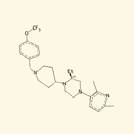 CC[C@H]1CN(c2ccc(C)nc2C)CCN1C1CCN(Cc2ccc(OC(F)(F)F)cc2)CC1